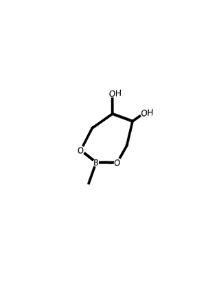 CB1OCC(O)C(O)CO1